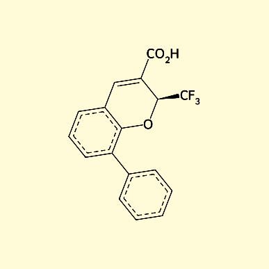 O=C(O)C1=Cc2cccc(-c3ccccc3)c2O[C@@H]1C(F)(F)F